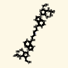 O=[PH](S)NC1C(CO)O[C@@H](n2cnc3c(NC/C=C/CNc4ncnc5c4ncn5[C@@H]4O[C@H](CO)C(N[PH](=O)S)[C@H]4O)ncnc32)[C@@H]1O